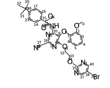 COc1ccccc1Oc1c(NS(=O)(=O)c2ccc(C(C)(C)C)cc2)nc(C#N)nc1OCCOc1ncc(Br)cn1